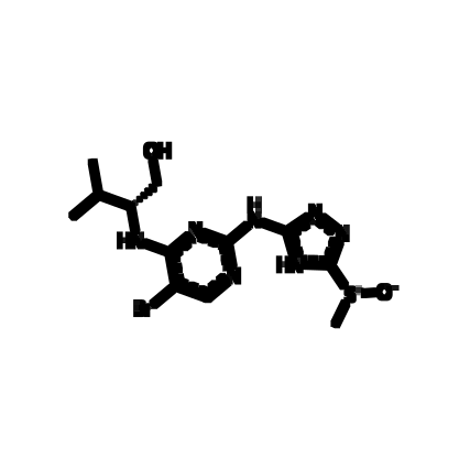 CC(C)[C@H](CO)Nc1nc(Nc2nnc([S+](C)[O-])[nH]2)ncc1Br